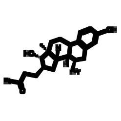 CCC[C@@H]1Cc2cc(O)ccc2C2CC[C@]3(C)[C@@H](O)[C@H](CCC(=O)CC)C[C@H]3[C@@H]21